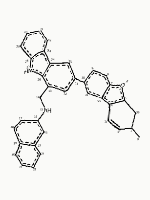 CC1C=Cc2c(oc3ccc(-c4cc(CNc5ccc6ccccc6c5)c5[nH]c6ccccc6c5c4)cc23)C1